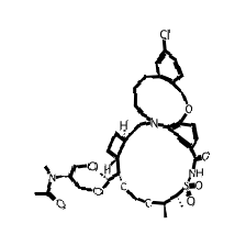 CC(=O)N(C)[C@H]1CO[C@H]([C@H]2CCC[C@H](C)[C@@H](C)S(=O)(=O)NC(=O)c3ccc4c(c3)N(CCCCc3cc(Cl)ccc3CO4)C[C@@H]3CC[C@H]32)OC1